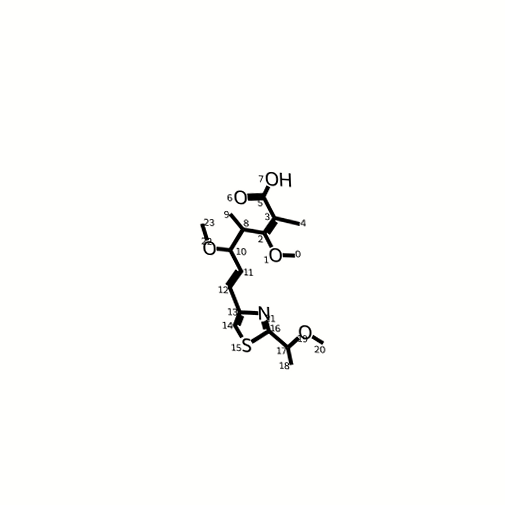 COC(=C(C)C(=O)O)C(C)C(C=Cc1csc(C(C)OC)n1)OC